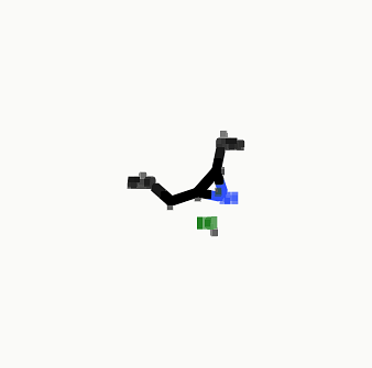 COCC1NC1OC.Cl